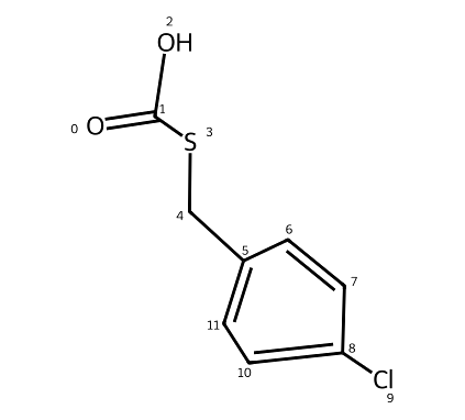 O=C(O)SCc1ccc(Cl)cc1